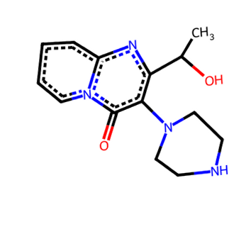 CC(O)c1nc2ccccn2c(=O)c1N1CCNCC1